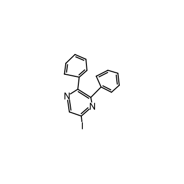 Ic1cnc(-c2ccccc2)c(-c2ccccc2)n1